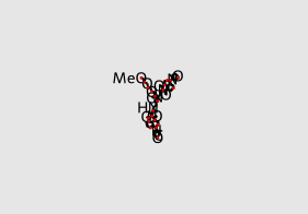 COCCOCCOCC(=O)N(CCCNCCN1C(=O)c2cccc3c(N4CCOCC4)ccc(c23)C1=O)CCN1C(=O)c2cccc3c(N4CCOCC4)ccc(c23)C1=O